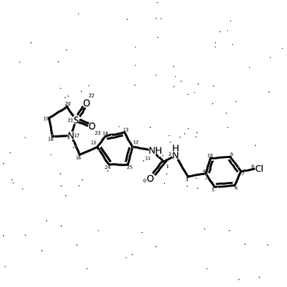 O=C(NCc1ccc(Cl)cc1)Nc1ccc(CN2CCCS2(=O)=O)cc1